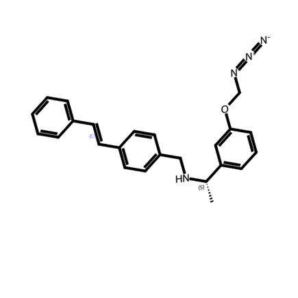 C[C@H](NCc1ccc(/C=C/c2ccccc2)cc1)c1cccc(OCN=[N+]=[N-])c1